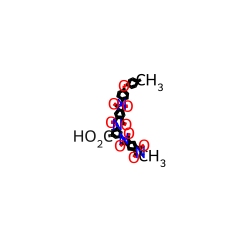 Cc1ccc(Oc2ccc(-n3c(=O)c4cc5c(=O)n(-c6cc(C(=O)O)cc(-n7c(=O)c8cc9c(=O)n(C)c(=O)c9cc8c7=O)c6)c(=O)c5cc4c3=O)cc2)cc1